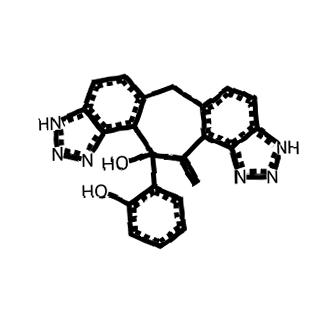 C=C1c2c(ccc3[nH]nnc23)Cc2ccc3[nH]nnc3c2C1(O)c1ccccc1O